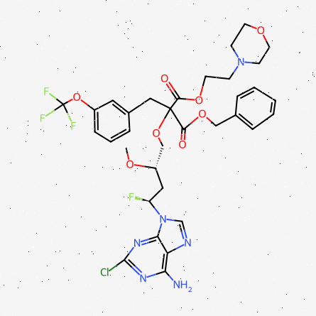 CO[C@H](COC(Cc1cccc(OC(F)(F)F)c1)(C(=O)OCCN1CCOCC1)C(=O)OCc1ccccc1)C[C@H](F)n1cnc2c(N)nc(Cl)nc21